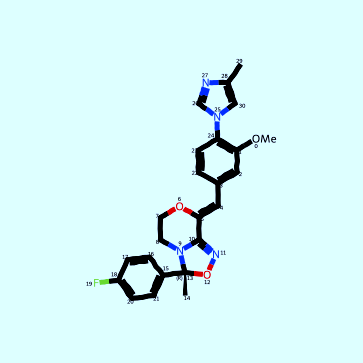 COc1cc(C=C2OCCN3C2=NO[C@]3(C)c2ccc(F)cc2)ccc1-n1cnc(C)c1